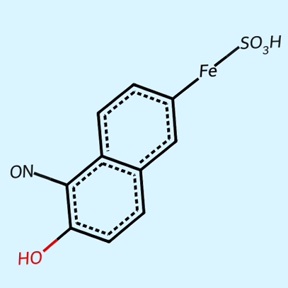 O=Nc1c(O)ccc2c[c]([Fe][S](=O)(=O)O)ccc12